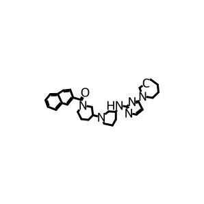 O=C(c1ccc2ccccc2c1)N1CCCC(N2CCCC(Nc3nccc(N4CCCCCC4)n3)C2)C1